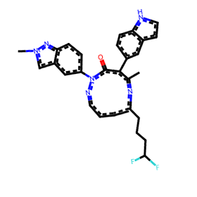 Cc1nc(CCCC(F)F)cccnn(-c2ccc3nn(C)cc3c2)c(=O)c1-c1ccc2[nH]ccc2c1